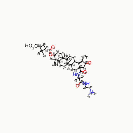 CC(C)C1=C2C3CC[C@@H]4[C@@]5(C)CC[C@H](OC(=O)[C@H]6C[C@@H](C(=O)O)C6(C)C)C(C)(C)[C@@H]5CC[C@@]4(C)[C@]3(C)CC[C@@]2(C(=O)NC(C)(C)C(=O)NCCN(C)C)CC1=O